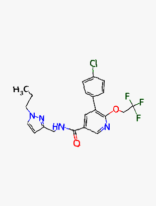 CCCn1ccc(CNC(=O)c2cnc(OCC(F)(F)F)c(-c3ccc(Cl)cc3)c2)n1